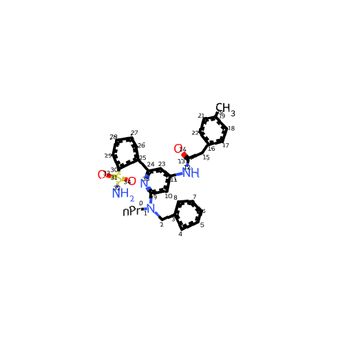 CCCN(Cc1ccccc1)c1cc(NC(=O)Cc2ccc(C)cc2)cc(-c2ccccc2S(N)(=O)=O)n1